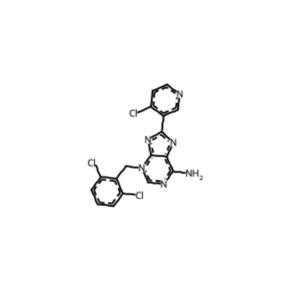 Nc1ncn(Cc2c(Cl)cccc2Cl)c2nc(-c3cnccc3Cl)nc1-2